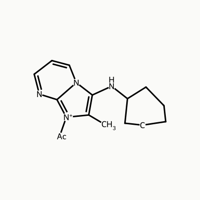 CC(=O)[n+]1c(C)c(NC2CCCCC2)n2cccnc21